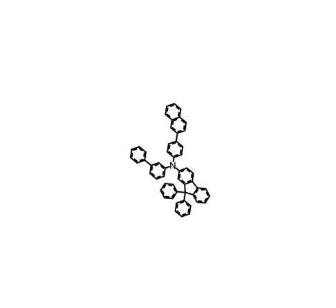 c1ccc(-c2cccc(N(c3ccc(-c4ccc5ccccc5c4)cc3)c3ccc4c(c3)C(c3ccccc3)(c3ccccc3)c3ccccc3-4)c2)cc1